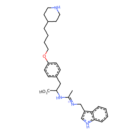 C/C(=N\Cc1c[nH]c2ccccc12)NC(Cc1ccc(OCCCCC2CCNCC2)cc1)C(=O)O